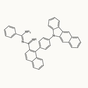 N=C(/N=C(\N)c1ccccc1)c1ccc2ccccc2c1-c1ccc(-n2c3ccccc3c3cc4ccccc4cc32)cc1